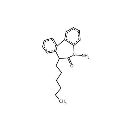 CCCCCCC1C(=O)N(N)c2ccccc2-c2ccccc21